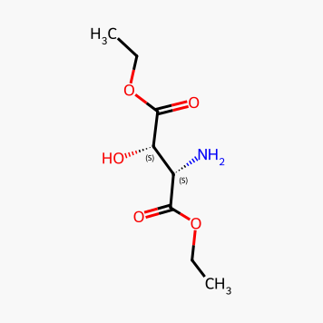 CCOC(=O)[C@@H](N)[C@H](O)C(=O)OCC